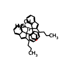 CCCCC1=Cc2ccccc2[C]1(c1ccccc1)[Ti]([SiH](C)C)[C]1(c2ccccc2)C(CCCC)=Cc2ccccc21